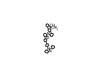 CC1(C)c2ccccc2-c2cc3c(cc21)c1ccccc1n3-c1cccc2c1oc1cc(-c3ccc(-n4c(-c5ccccc5)nc5ccccc54)cc3)ccc12